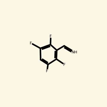 N=Cc1c(F)c(F)cc(F)c1F